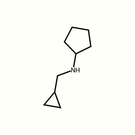 C1CCC(NCC2CC2)C1